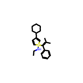 CCNS1(C(=C(C)C)c2ccccc2)C=CC(C2CCCCC2)=C1